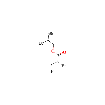 CCCCC(CC)COC(=O)C(CC)CC(C)C